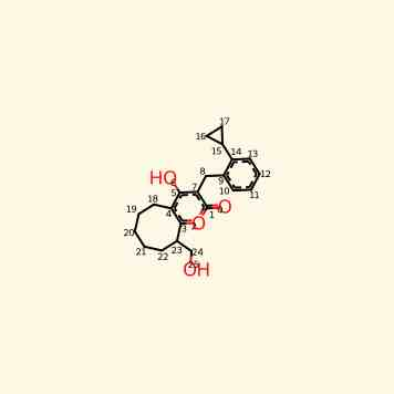 O=c1oc2c(c(O)c1Cc1ccccc1C1CC1)CCCCCC2CO